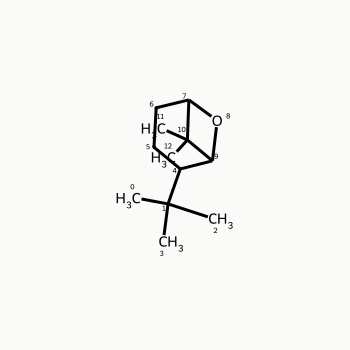 CC(C)(C)C1CCC2OC1C2(C)C